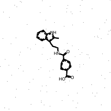 Cc1[nH]c2ccccc2c1CCNC(=O)c1ccc(C(=O)O)cc1